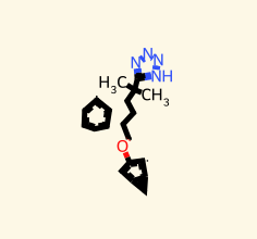 CC(C)(CCCCOc1[c]c2cc-2c1)c1nnn[nH]1.[c]1ccccc1